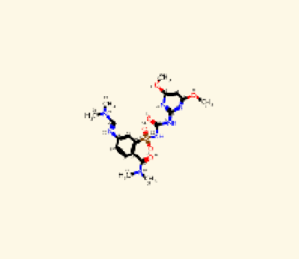 COc1cc(OC)nc(NC(=O)NS(=O)(=O)c2cc(N=CN(C)C)ccc2C(=O)N(C)C)n1